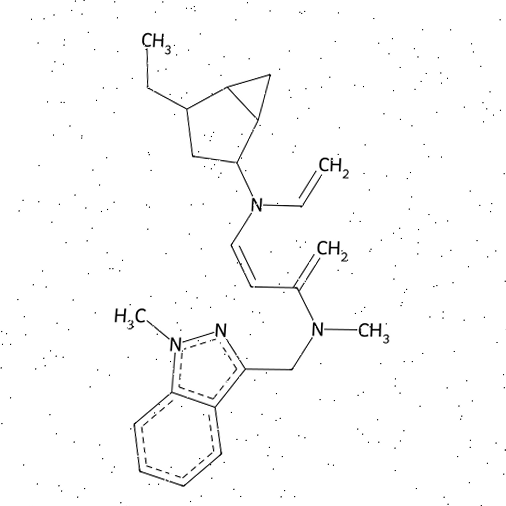 C=CN(/C=C\C(=C)N(C)Cc1nn(C)c2ccccc12)C1CC(CC)C2CC21